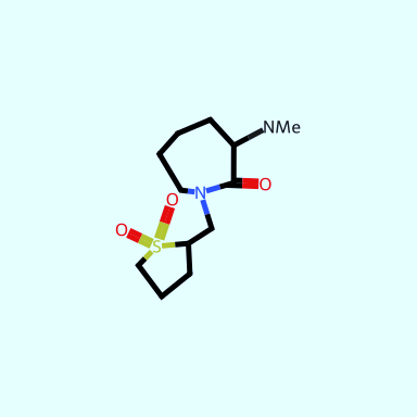 CNC1CCCCN(CC2CCCS2(=O)=O)C1=O